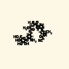 C[C@H]1CN(C(=O)CC#N)[C@]12CCN(c1ncnc3c1ccn3C(=O)N(C)CCN(C)C(=O)OCc1ccc(O[C@@H]3O[C@H](C(=O)O)[C@@H](O)[C@H](O)[C@H]3O)c(N)c1)C2